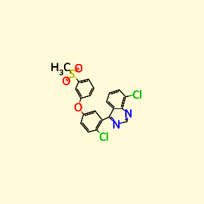 CS(=O)(=O)c1cccc(Oc2ccc(Cl)c(-c3ncnc4c(Cl)cccc34)c2)c1